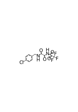 O=C(NCc1ccc(Cl)cc1)C(=O)NS(=O)(=O)C(F)(F)F